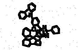 c1ccc(-c2nc(-c3ccc(-n4c5ccccc5c5ccccc54)cc3)nc(-c3cccc4c3C3(c5ccccc5Oc5ccccc53)c3ccccc3-4)n2)cc1